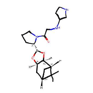 CC1(C)[C@@H]2C[C@H]3OB([C@@H]4CCCN4C(=O)CNC4CCNC4)O[C@@]3(C)[C@H]1C2